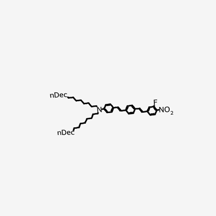 CCCCCCCCCCCCCCCCCCN(CCCCCCCCCCCCCCCCCC)c1ccc(/C=C/c2ccc(/C=C/c3ccc([N+](=O)[O-])c(F)c3)cc2)cc1